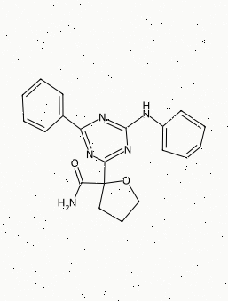 NC(=O)C1(c2nc(Nc3ccccc3)nc(-c3ccccc3)n2)CCCO1